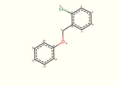 Clc1ccccc1COc1c[c]ccc1